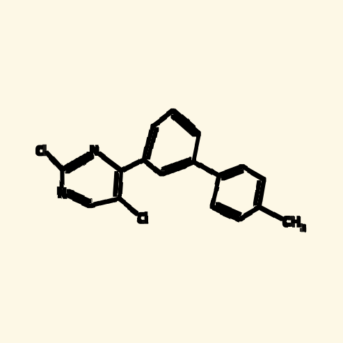 Cc1ccc(-c2cccc(-c3nc(Cl)ncc3Cl)c2)cc1